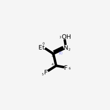 CC/C(=N\O)C(F)F